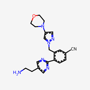 N#Cc1ccc(-c2ncc(CCN)cn2)c(Cn2cc(N3CCOCC3)cn2)c1